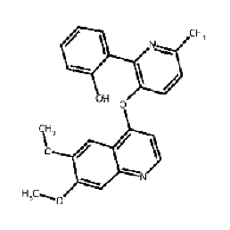 COc1cc2nccc(Oc3ccc(C)nc3-c3ccccc3O)c2cc1OC